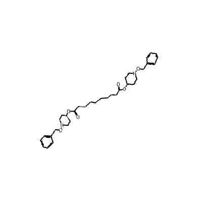 O=C(CCCCCCCCC(=O)OC1CCN(OCc2ccccc2)CC1)OC1CCN(OCc2ccccc2)CC1